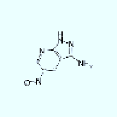 Nc1n[nH]c2ncc(N=O)cc12